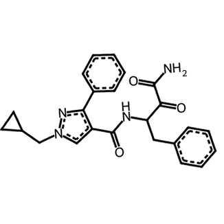 NC(=O)C(=O)C(Cc1ccccc1)NC(=O)c1cn(CC2CC2)nc1-c1ccccc1